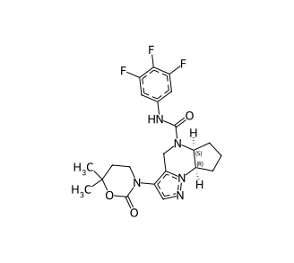 CC1(C)CCN(c2cnn3c2CN(C(=O)Nc2cc(F)c(F)c(F)c2)[C@H]2CCC[C@H]23)C(=O)O1